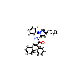 CCOC(=O)c1cc(NC(=O)c2cc3ccccc3c3ccccc23)n(-c2ccccc2)n1